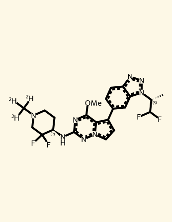 [2H]C([2H])([2H])N1CC[C@@H](Nc2nc(OC)c3c(-c4ccc5nnn([C@H](C)C(F)F)c5c4)ccn3n2)C(F)(F)C1